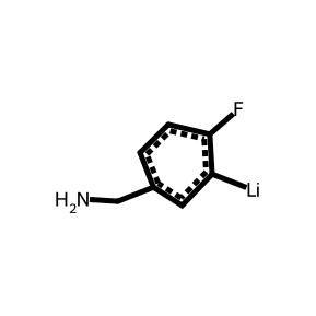 [Li][c]1cc(CN)ccc1F